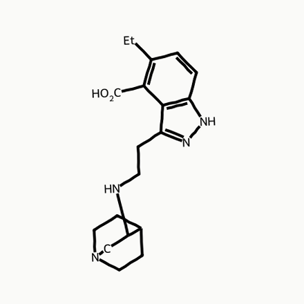 CCc1ccc2[nH]nc(CCNC3CN4CCC3CC4)c2c1C(=O)O